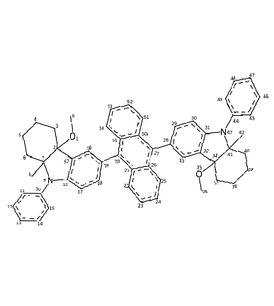 COC12CCCCC1(C)N(c1ccccc1)c1ccc(-c3c4ccccc4c(-c4ccc5c(c4)C4(OC)CCCCC4(C)N5c4ccccc4)c4ccccc34)cc12